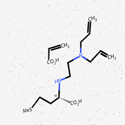 C=CC(=O)O.C=CCN(CC=C)CCN[C@@H](CCSC)C(=O)O